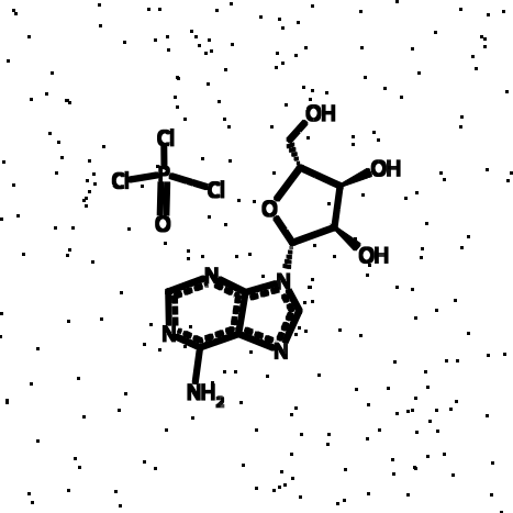 Nc1ncnc2c1ncn2[C@@H]1O[C@H](CO)[C@@H](O)[C@H]1O.O=P(Cl)(Cl)Cl